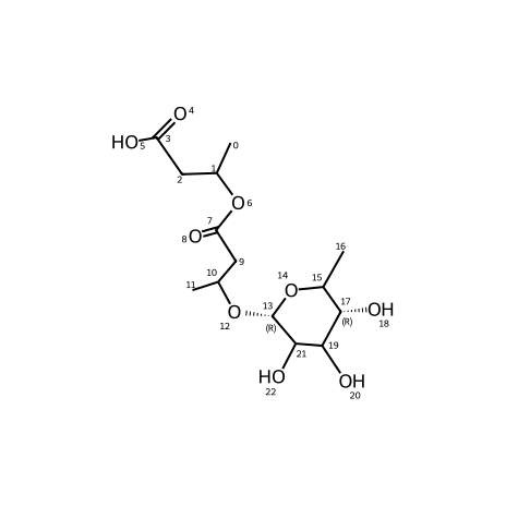 CC(CC(=O)O)OC(=O)CC(C)O[C@@H]1OC(C)[C@H](O)C(O)C1O